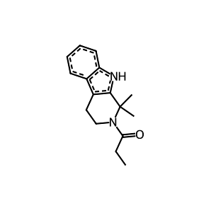 CCC(=O)N1CCc2c([nH]c3ccccc23)C1(C)C